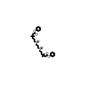 CC(C)(CCC[S+]([O-])CCC[S+]([O-])CCCC(C)(C)CC(=O)Oc1ccccc1)CC(=O)Oc1ccccc1